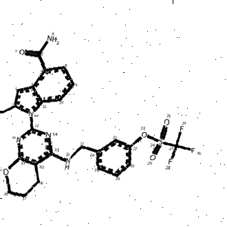 Cc1cc2c(C(N)=O)cccc2n1-c1nc(NCc2cccc(OS(=O)(=O)C(F)(F)F)c2)c2c(n1)OCCC2